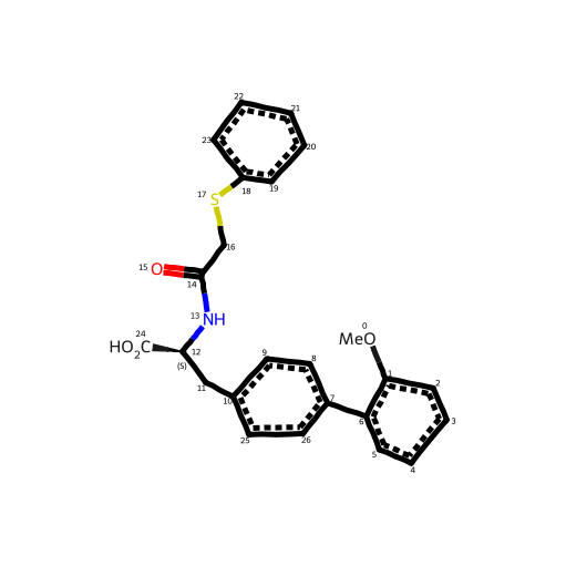 COc1ccccc1-c1ccc(C[C@H](NC(=O)CSc2ccccc2)C(=O)O)cc1